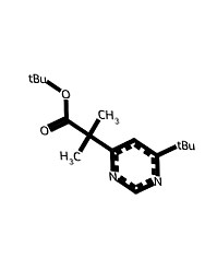 CC(C)(C)OC(=O)C(C)(C)c1cc(C(C)(C)C)ncn1